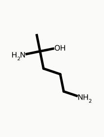 CC(N)(O)CCCN